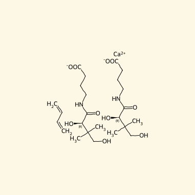 C=CC=C.CC(C)(CO)[C@@H](O)C(=O)NCCCC(=O)[O-].CC(C)(CO)[C@@H](O)C(=O)NCCCC(=O)[O-].[Ca+2]